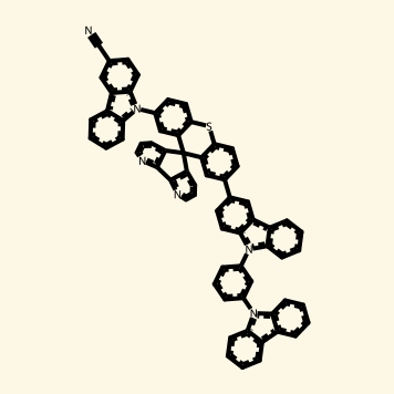 N#Cc1ccc2c(c1)c1ccccc1n2-c1ccc2c(c1)C1(c3cc(-c4ccc5c(c4)c4ccccc4n5-c4cccc(-n5c6ccccc6c6ccccc65)c4)ccc3S2)c2cccnc2-c2ncccc21